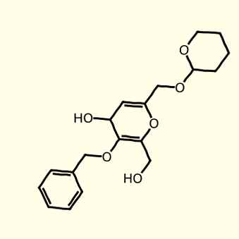 OCC1=C(OCc2ccccc2)C(O)C=C(COC2CCCCO2)O1